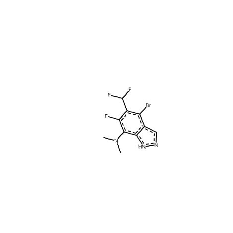 CN(C)c1c(F)c(C(F)F)c(Br)c2cn[nH]c12